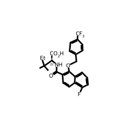 CCC(C)(C)[C@H](NC(=O)c1ccc2c(F)cccc2c1OCc1ccc(C(F)(F)F)cc1)C(=O)O